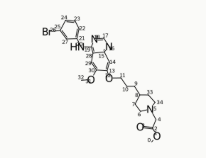 COC(=O)CN1CCC(CCCOc2cc3ncnc(Nc4cccc(Br)c4)c3cc2OC)CC1